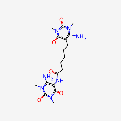 Cn1c(N)c(CCCCCC(=O)Nc2c(N)n(C)c(=O)n(C)c2=O)c(=O)n(C)c1=O